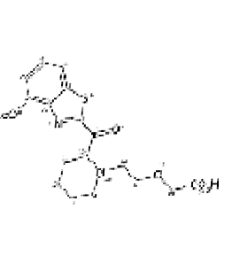 COc1cccc2sc(C(=O)C3CCCCN3CCOCC(=O)O)nc12